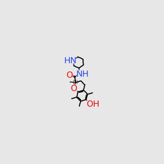 Cc1c(C)c2c(c(C)c1O)CC[C@@](C)(C(=O)NC1CCCNC1)O2